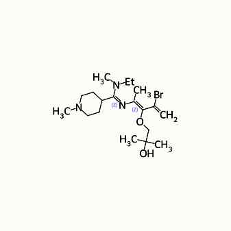 C=C(Br)/C(OCC(C)(C)O)=C(C)/N=C(/C1CCN(C)CC1)N(C)CC